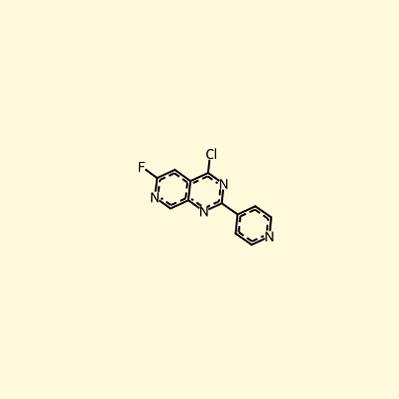 Fc1cc2c(Cl)nc(-c3ccncc3)nc2cn1